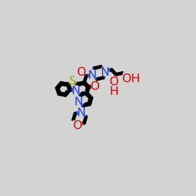 O=C(c1c(=O)c2ccc(N3CCOCC3)nc2n2c1sc1ccccc12)N1CCN(CC(O)CO)CC1